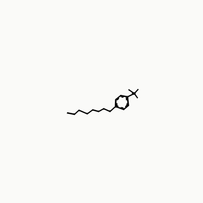 [CH2]CCCCCCCc1ccc(C(C)(C)C)cc1